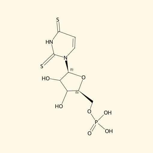 O=P(O)(O)OC[C@@H]1O[C@H](n2ccc(=S)[nH]c2=S)C(O)C1O